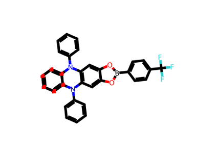 FC(F)(F)c1ccc(B2Oc3cc(N(c4ccccc4)c4ccccc4)c(N(c4ccccc4)C4C=CC=CC4)cc3O2)cc1